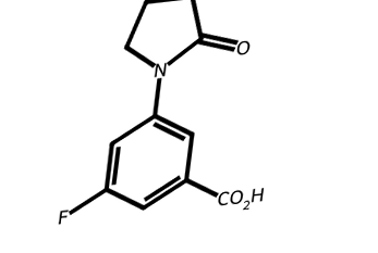 O=C(O)c1cc(F)cc(N2CCCC2=O)c1